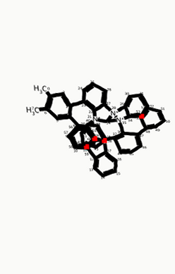 Cc1cc2c(cc1C)-c1ccc3c4ccccc4n4c3c1[N+]1(c3c-2cccc3[N+]23c5ccccc5[N+]2(c2c(-c5ccccc5)cccc2-c2ccccc2)C13)[n+]1ccccc1-4